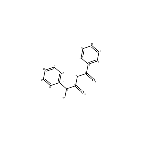 CC(C(=O)CC(=O)c1ccccc1)c1ccccc1